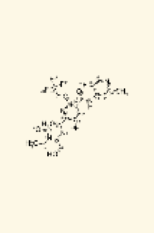 CCN(C=O)/C(CO)=N\N(C)c1nc(OCC(F)(F)F)c(C(=O)Nc2cc(C)ncc2F)cc1F